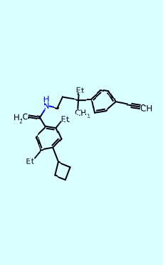 C#Cc1ccc(C(C)(CC)CCNC(=C)c2cc(CC)c(C3CCC3)cc2CC)cc1